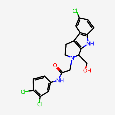 O=C(CN1CCc2c([nH]c3ccc(Cl)cc23)C1CO)Nc1ccc(Cl)c(Cl)c1